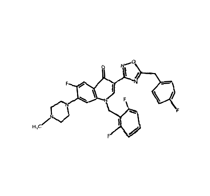 CN1CCN(c2cc3c(cc2F)c(=O)c(-c2noc(Cc4ccc(F)cc4)n2)cn3Cc2c(F)cccc2F)CC1